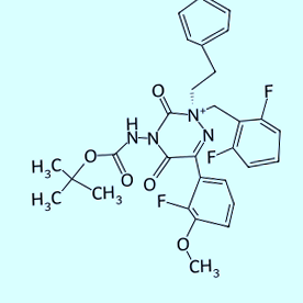 COc1cccc(C2=N[N@+](CCc3ccccc3)(Cc3c(F)cccc3F)C(=O)N(NC(=O)OC(C)(C)C)C2=O)c1F